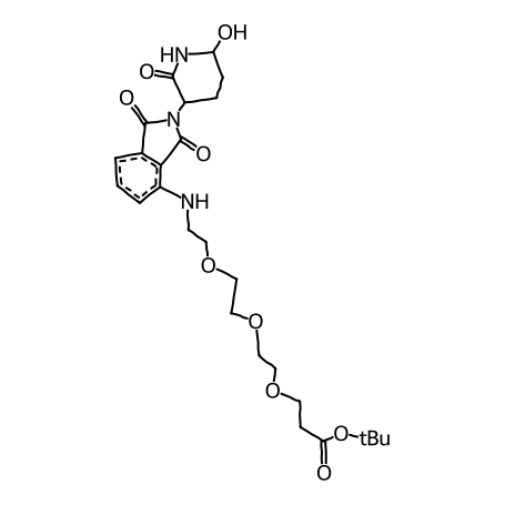 CC(C)(C)OC(=O)CCOCCOCCOCCNc1cccc2c1C(=O)N(C1CCC(O)NC1=O)C2=O